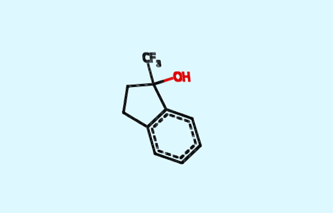 OC1(C(F)(F)F)CCc2ccccc21